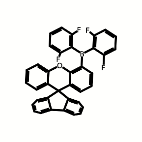 Fc1cccc(F)c1B(c1cccc2c1Oc1ccccc1C21c2ccccc2-c2ccccc21)c1c(F)cccc1F